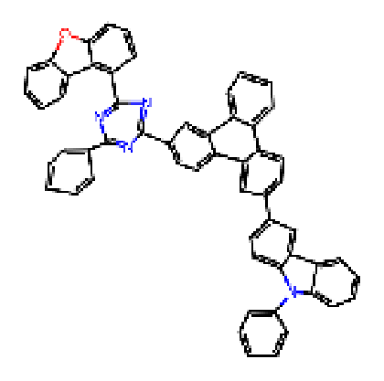 c1ccc(-c2nc(-c3ccc4c5cc(-c6ccc7c(c6)c6ccccc6n7-c6ccccc6)ccc5c5ccccc5c4c3)nc(-c3cccc4oc5ccccc5c34)n2)cc1